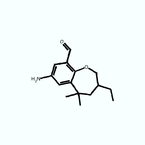 CCC1COc2c(C=O)cc(N)cc2C(C)(C)C1